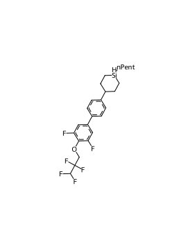 CCCCC[SiH]1CCC(c2ccc(-c3cc(F)c(OCC(F)(F)C(F)F)c(F)c3)cc2)CC1